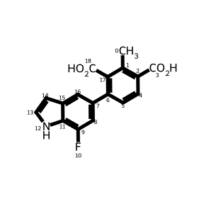 Cc1c(C(=O)O)ccc(-c2cc(F)c3[nH]ccc3c2)c1C(=O)O